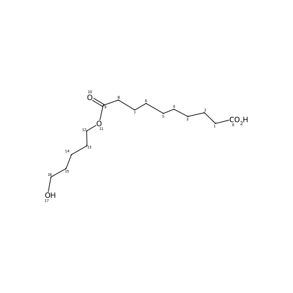 O=C(O)CCCCCCCCC(=O)OCCCCCO